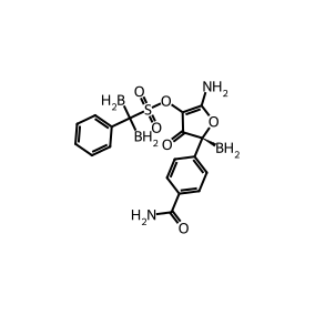 BC(B)(c1ccccc1)S(=O)(=O)OC1=C(N)O[C@](B)(c2ccc(C(N)=O)cc2)C1=O